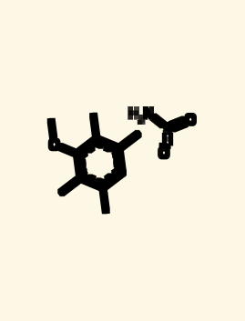 COc1c(C)c(C)cc(C)c1C.N[SH](=O)=O